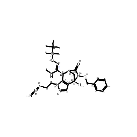 CN/C(=N\O[Si](C)(C)C(C)(C)C)[C@@H]1c2c(cnn2CCN=[N+]=[N-])[C@@H]2CN1C(=O)N2OCc1ccccc1